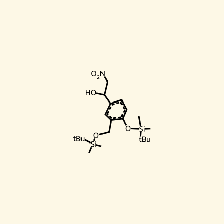 CC(C)(C)[Si](C)(C)OCc1cc(C(O)C[N+](=O)[O-])ccc1O[Si](C)(C)C(C)(C)C